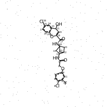 O=C(COc1ccc(Cl)c(F)c1)NC1CC2(NC(=O)C3=CC(O)c4cc(Cl)ccc4O3)CC1C2